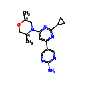 C[C@H]1CN(c2cc(-c3cnc(N)nc3)nc(C3CC3)n2)[C@@H](C)CO1